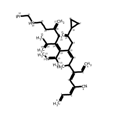 C=C/C=C(C#N)\C=C(/C=C)C(C)\C=C(CC(=C)C1CC1)/C(C(/C)=N\C)=C(\CC(=C)CCNCC(C)C)C(=C)C